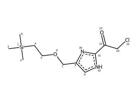 C[Si](C)(C)CCOCc1c[nH]c(C(=O)CCl)n1